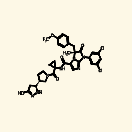 C[C@@]1(Cc2ccc(OC(F)(F)F)cc2)C(=O)N(c2cc(Cl)cc(Cl)c2)c2ncc(C(=O)NC3(C(=O)N4CC[C@@H](C5CC(O)=NN5)C4)CC3)n21